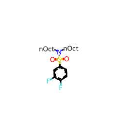 CCCCCCCCN(CCCCCCCC)S(=O)(=O)c1ccc(F)c(F)c1